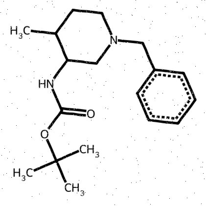 CC1CCN(Cc2ccccc2)CC1NC(=O)OC(C)(C)C